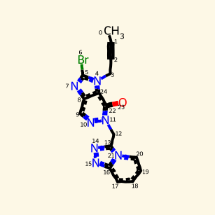 CC#CCn1c(Br)nc2cnn(Cc3nnc4ccccn34)c(=O)c21